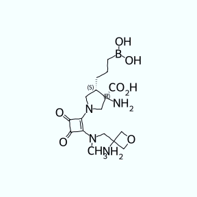 CN(CC1(N)COC1)c1c(N2C[C@H](CCCB(O)O)[C@](N)(C(=O)O)C2)c(=O)c1=O